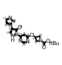 CC(C)(C)OC(=O)N1CC(Oc2cc(-n3[nH]cc(-n4ccnn4)c3=O)ncn2)C1